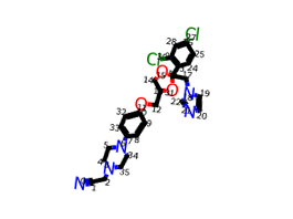 N#CCN1CCN(c2ccc(OCC3COC(Cn4ccnc4)(c4ccc(Cl)cc4Cl)O3)cc2)CC1